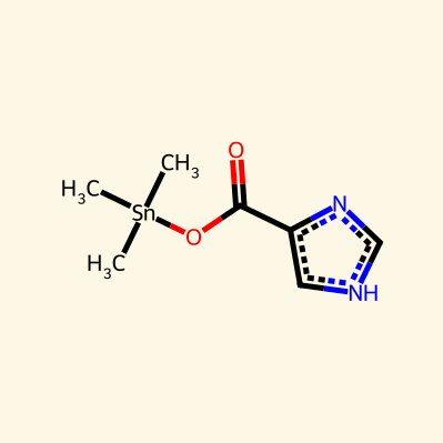 [CH3][Sn]([CH3])([CH3])[O]C(=O)c1c[nH]cn1